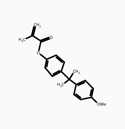 C=C(C)C(=O)Oc1ccc(C(C)(C)c2ccc(OC)cc2)cc1